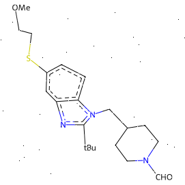 COCCSc1ccc2c(c1)nc(C(C)(C)C)n2CC1CCN(C=O)CC1